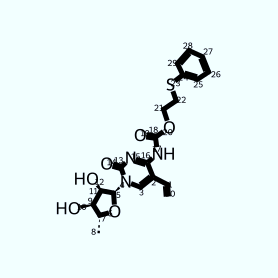 C=Cc1cn([C@@H]2O[C@H](C)[C@@H](O)[C@H]2O)c(=O)nc1NC(=O)OCCSc1ccccc1